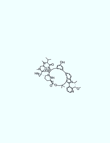 CCn1c(-c2cccnc2[C@H](C)OC)c2c3cc(ccc31)-c1cc(O)cc(c1)C[C@H](NC(=O)C(C(C)C)N(C)C(=O)CN(C)C(=O)[C@@]1(C)CN1)C(=O)N1CCC[C@H](N1)C(=O)OCC(C)(C)C2